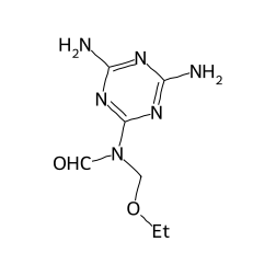 CCOCN(C=O)c1nc(N)nc(N)n1